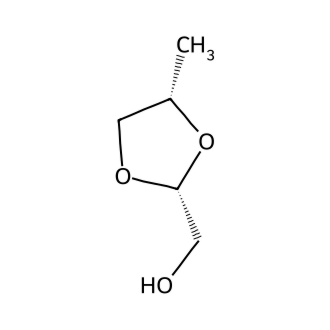 C[C@H]1CO[C@@H](CO)O1